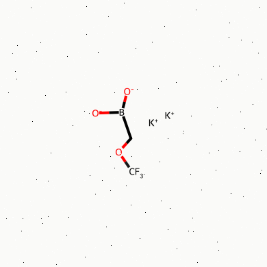 [K+].[K+].[O-]B([O-])COC(F)(F)F